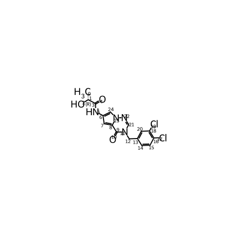 C[C@@H](O)C(=O)Nc1cc2c(=O)n(Cc3ccc(Cl)c(Cl)c3)cnn2c1